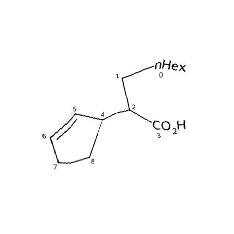 CCCCCCCC(C(=O)O)C1C=CCC1